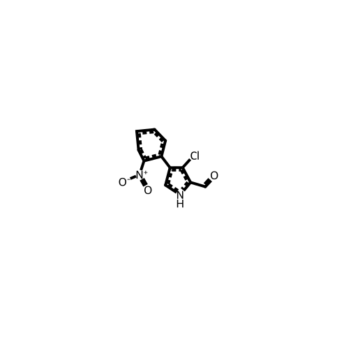 O=Cc1[nH]cc(-c2ccccc2[N+](=O)[O-])c1Cl